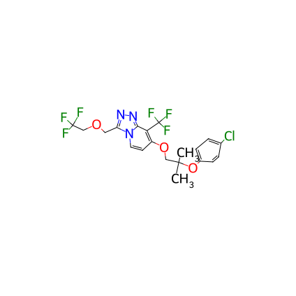 CC(C)(COc1ccn2c(COCC(F)(F)F)nnc2c1C(F)(F)F)Oc1ccc(Cl)cc1